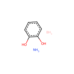 B.N.Oc1ccccc1O